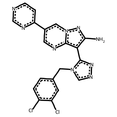 Nc1nn2cc(-c3ccncn3)cnc2c1-c1nncn1Cc1ccc(Cl)c(Cl)c1